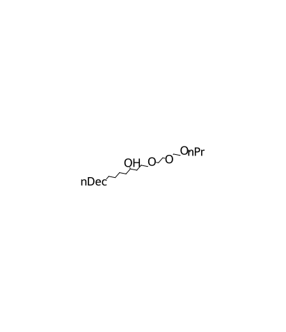 CCCCCCCCCCCCCCC(O)CCCOCCOCCOCCC